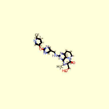 CN1c2nc(NCc3cnc(Oc4ccc(C(F)(F)F)nc4)nc3)nc3c2N(CCC3)C(=O)C1CO